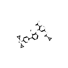 COc1c(Nc2cc(NC(=O)C3CC3)nnc2C(N)=O)cccc1-c1ccc(P(=O)(C2CC2)C2CC2)cn1